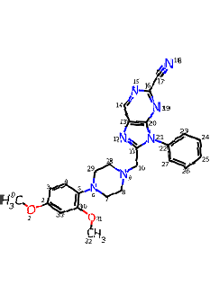 COc1ccc(N2CCN(Cc3nc4cnc(C#N)nc4n3-c3ccccc3)CC2)c(OC)c1